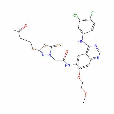 COCCOc1cc2ncnc(Nc3ccc(F)c(Cl)c3)c2cc1NC(=O)Cn1nc(SCCC(C)=O)sc1=S